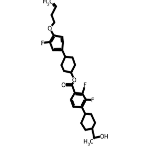 C=CCCOc1ccc(C2CCC(OC(=O)c3ccc(C4CCC(C(C)O)CC4)c(F)c3F)CC2)cc1F